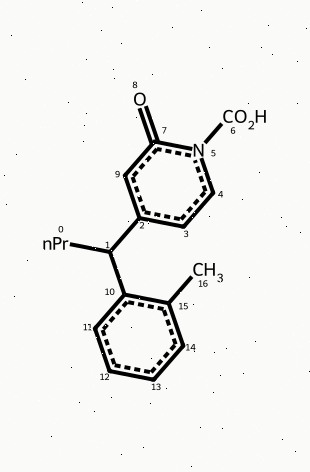 CCCC(c1ccn(C(=O)O)c(=O)c1)c1ccccc1C